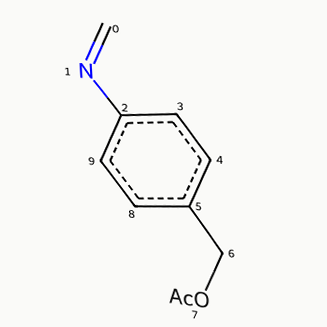 C=Nc1ccc(COC(C)=O)cc1